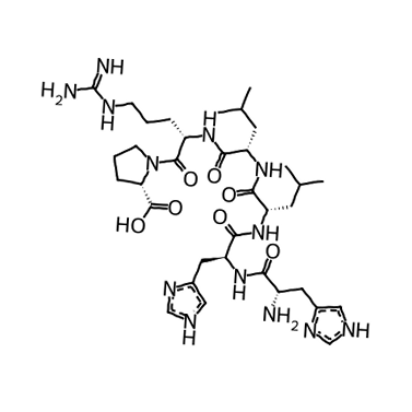 CC(C)C[C@H](NC(=O)[C@H](Cc1c[nH]cn1)NC(=O)[C@@H](N)Cc1c[nH]cn1)C(=O)N[C@@H](CC(C)C)C(=O)N[C@@H](CCCNC(=N)N)C(=O)N1CCC[C@H]1C(=O)O